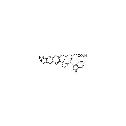 CC1(C(=O)N(CCCCCC(=O)O)Cc2ccc3cn[nH]c3c2)CCN1C(=O)c1csc2ccccc12